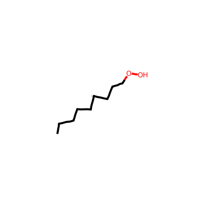 CCCCC[CH]CCCOO